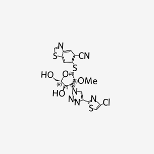 CO[C@@H]1[C@@H](n2cc(-c3nc(Cl)cs3)nn2)[C@@H](O)[C@@H](CO)O[C@@H]1Sc1cc2scnc2cc1C#N